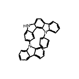 c1ccc(-n2c3ccccc3c3ccc4[nH]c5ccc(-n6c7ccccc7c7ccccc76)cc5c4c32)cc1